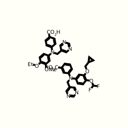 CCOc1ccc(N(Cc2cncnc2)c2ccc(C(=O)O)cc2)cc1OC.O=C(O)c1cccc(N(Cc2cncnc2)c2ccc(OC(F)F)c(OCC3CC3)c2)c1